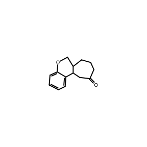 O=C1CCCC2COc3ccccc3C2C1